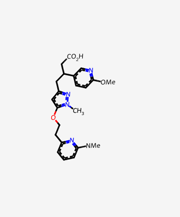 CNc1cccc(CCOc2cc(CC(CC(=O)O)c3ccc(OC)nc3)nn2C)n1